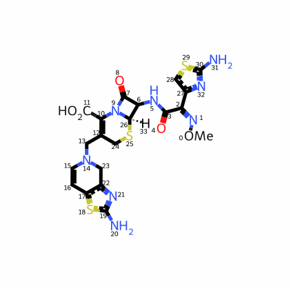 CO/N=C(\C(=O)NC1C(=O)N2C(C(=O)O)=C(CN3C=Cc4sc(N)nc4C3)CS[C@H]12)c1csc(N)n1